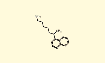 NCCCCCC(N)c1ccnc2ccccc12